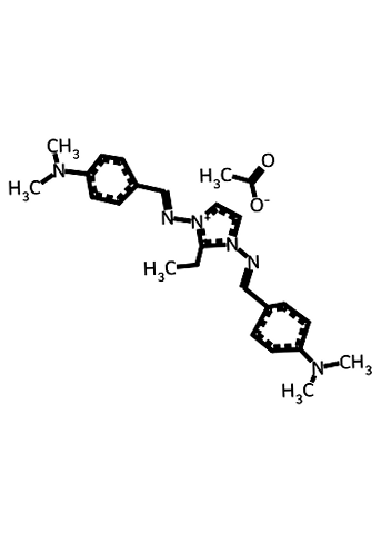 CC(=O)[O-].CCc1n(N=Cc2ccc(N(C)C)cc2)cc[n+]1N=Cc1ccc(N(C)C)cc1